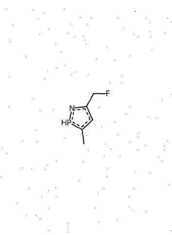 Cc1cc(CF)n[pH]1